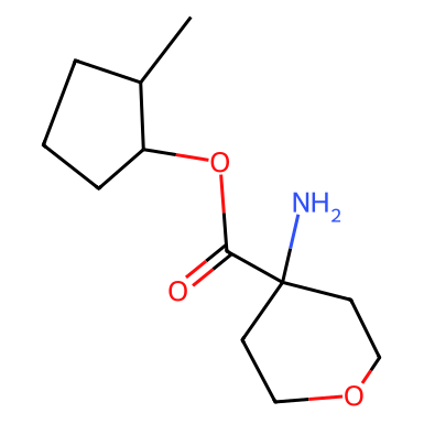 CC1CCCC1OC(=O)C1(N)CCOCC1